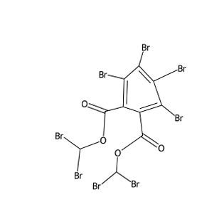 O=C(OC(Br)Br)c1c(Br)c(Br)c(Br)c(Br)c1C(=O)OC(Br)Br